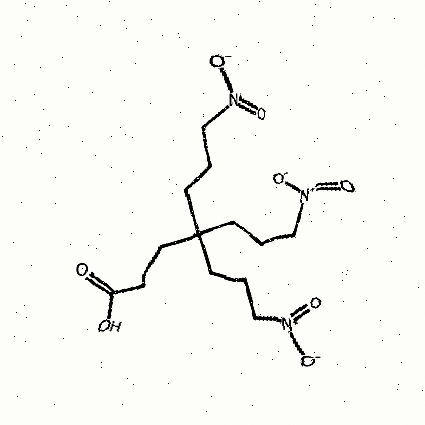 O=C(O)CCC(CCC[N+](=O)[O-])(CCC[N+](=O)[O-])CCC[N+](=O)[O-]